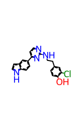 Oc1ccc(CCNc2nccc(-c3ccc4[nH]ccc4c3)n2)cc1Cl